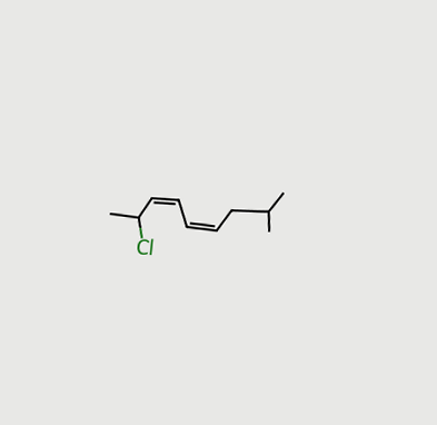 CC(Cl)/C=C\C=C/CC(C)C